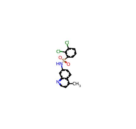 Cc1ccnc2cc(NS(=O)(=O)c3cccc(Cl)c3Cl)ccc12